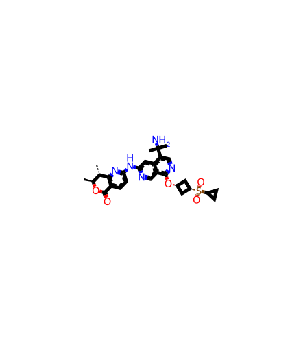 C[C@@H]1OC(=O)c2ccc(Nc3cc4c(C(C)(C)N)cnc(O[C@H]5C[C@@H](S(=O)(=O)C6CC6)C5)c4cn3)nc2[C@H]1C